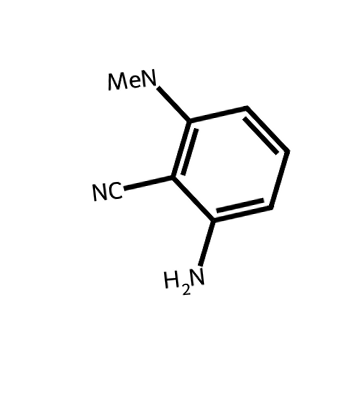 CNc1cccc(N)c1C#N